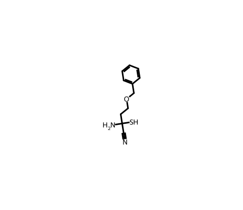 N#CC(N)(S)CCOCc1ccccc1